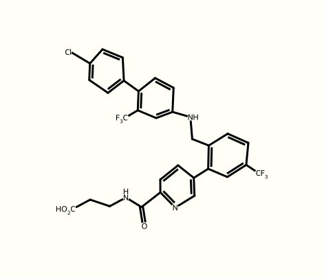 O=C(O)CCNC(=O)c1ccc(-c2cc(C(F)(F)F)ccc2CNc2ccc(-c3ccc(Cl)cc3)c(C(F)(F)F)c2)cn1